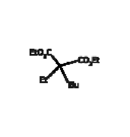 CCOC(=O)C(CC)(C(=O)OCC)C(C)CC